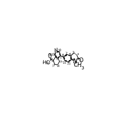 CN1C(=O)CCc2cc(-c3cncc4c3CCC[C@H]4C(=O)O)ccc21